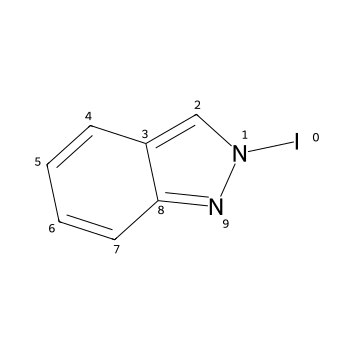 In1cc2ccccc2n1